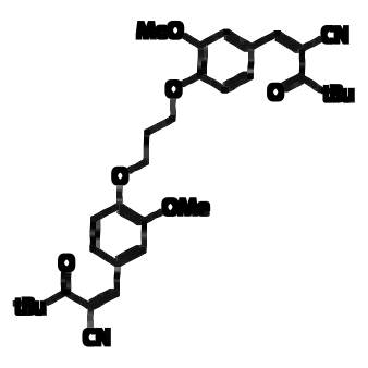 COc1cc(C=C(C#N)C(=O)C(C)(C)C)ccc1OCCCOc1ccc(C=C(C#N)C(=O)C(C)(C)C)cc1OC